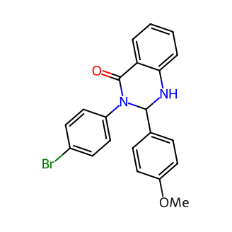 COc1ccc(C2Nc3ccccc3C(=O)N2c2ccc(Br)cc2)cc1